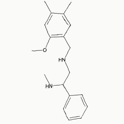 CNC(CNCc1cc(C)c(C)cc1OC)c1ccccc1